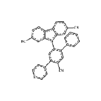 N#Cc1ccc2c3ccc(C#N)cc3n(-c3cc(-c4ccncc4)c(C#N)cc3-c3ccccc3)c2c1